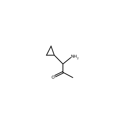 CC(=O)C(N)C1CC1